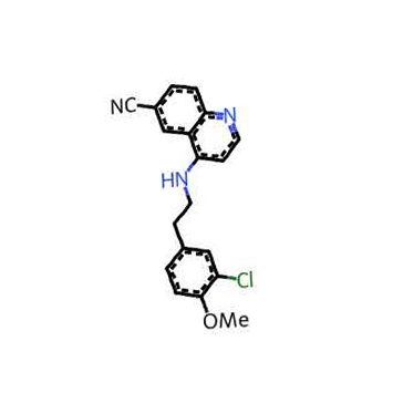 COc1ccc(CCNc2ccnc3ccc(C#N)cc23)cc1Cl